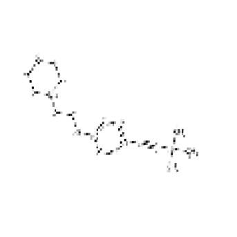 C[Si](C)(C)C#Cc1ccc(OCCN2CCOCC2)cc1